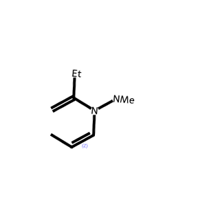 C=C(CC)N(/C=C\C)NC